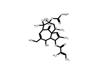 C/C=C(\C)C(=O)OC1C(C)=CC23C(=O)C(C=C(CO)C(O)C12)C(C)(C)[C@](C)(OC(=O)CCCCCCC)C[C@H]3C